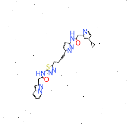 O=C(Cc1cc(C2CC2)ccn1)Nc1ccc(C#CCCc2nnc(NC(=O)Cc3cc4ccccn4n3)s2)nn1